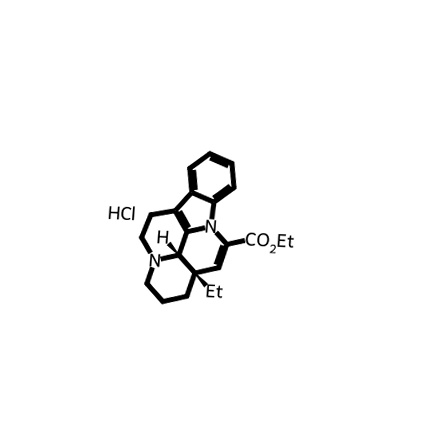 CCOC(=O)C1=C[C@]2(CC)CCCN3CCc4c(n1c1ccccc41)[C@@H]32.Cl